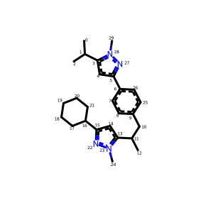 CC(C)c1cc(-c2ccc(CC(C)c3cc(C4CCCCC4)nn3C)cc2)nn1C